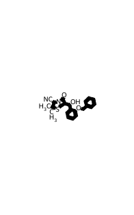 CC1(C)SC2C(C(O)c3ccccc3OCc3ccccc3)C(=O)N2C1C#N